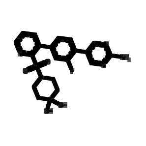 Nc1ncc(-c2ccc(-c3cccnc3S(=O)(=O)C3CCS(O)(O)CC3)cc2F)cn1